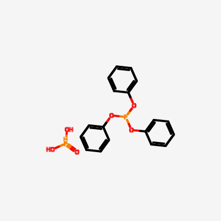 O=[PH](O)O.c1ccc(OP(Oc2ccccc2)Oc2ccccc2)cc1